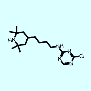 CC1(C)CC(CCCCNc2ncnc(Cl)n2)CC(C)(C)N1